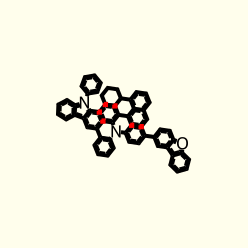 c1ccc(-n2c3ccccc3c3cc(-c4ccccc4N(c4ccc(-c5ccc6oc7ccccc7c6c5)cc4)c4ccccc4-c4cccc5cccc(C6CCCCC6)c45)ccc32)cc1